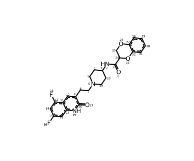 O=C(NC1CCN(CCc2cc3c(F)cc(F)cc3[nH]c2=O)CC1)C1COc2ccccc2O1